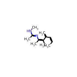 C=C(/C=C\C)/C(C)=C(C)\N=C(/C)NC